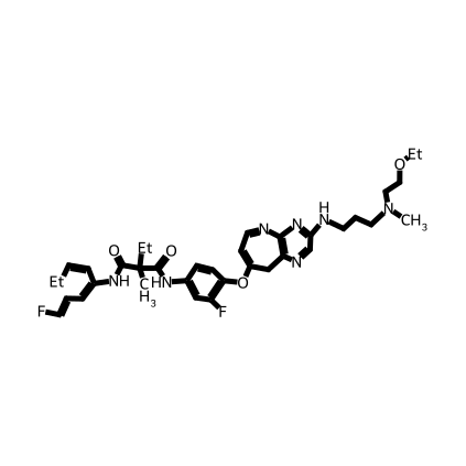 CC\C=C/C(=C\C=C\F)NC(=O)C(C)(CC)C(=O)Nc1ccc(OC2=CC=Nc3nc(NCCCN(C)CCOCC)cnc3C2)c(F)c1